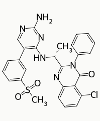 C[C@@H](Nc1nc(N)ncc1-c1cccc(S(C)(=O)=O)c1)c1nc2cccc(Cl)c2c(=O)n1-c1ccccc1